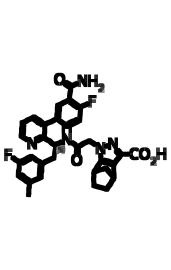 Cc1cc(F)cc(C[C@H](NC(=O)Cn2nc(C(=O)O)c3c2C2CCC3C2)c2ncccc2-c2ccc(F)c(C(N)=O)c2)c1